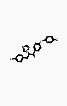 O=C(c1ccc(Oc2ccc(Cl)cc2)cc1)C(Cc1ccc(Cl)cc1)n1cncn1